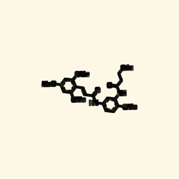 COc1cc(OC)c(/C=C/C(=O)Nc2ccc(OC)c(NC(=O)CCOC(C)=O)c2)c(OC)c1